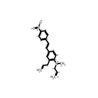 C=CCc1cc(/C=C/c2ccc([N+](=O)[O-])cc2)ccc1N(C)CC=C